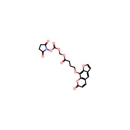 O=C(CCCOc1c2occc2cc2ccc(=O)oc12)OCOC(=O)ON1C(=O)CCC1=O